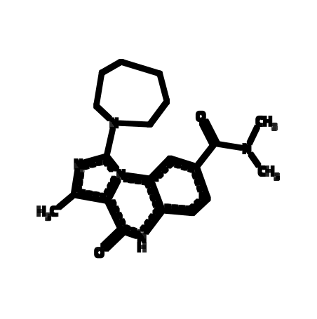 Cc1nc(N2CCCCCC2)n2c1c(=O)[nH]c1ccc(C(=O)N(C)C)cc12